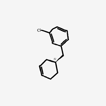 Clc1cccc(C[C@@H]2CC=CCC2)c1